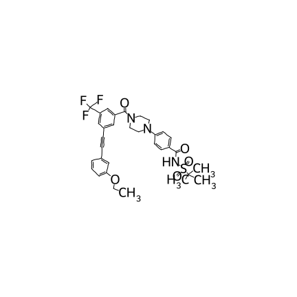 CCOc1cccc(C#Cc2cc(C(=O)N3CCN(c4ccc(C(=O)NS(=O)(=O)C(C)(C)C)cc4)CC3)cc(C(F)(F)F)c2)c1